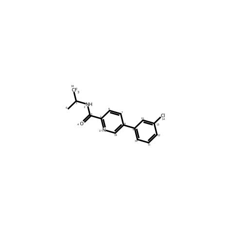 CC(NC(=O)c1ccc(-c2cccc(Cl)c2)cn1)C(F)(F)F